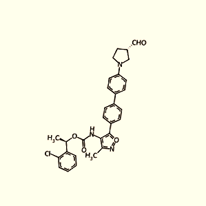 Cc1noc(-c2ccc(-c3ccc(N4CC[C@H](C=O)C4)cc3)cc2)c1NC(=O)O[C@H](C)c1ccccc1Cl